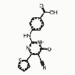 N#Cc1c(-c2cccs2)nc(Nc2ccc(C(=O)O)cc2)[nH]c1=O